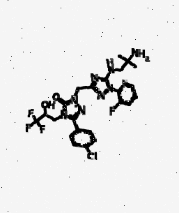 CC(C)(N)CNc1nc(Cn2nc(-c3ccc(Cl)cc3)n(CC(O)C(F)(F)F)c2=O)nn1-c1ncccc1F